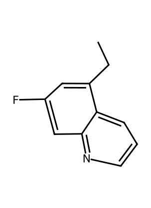 CCc1cc(F)cc2ncccc12